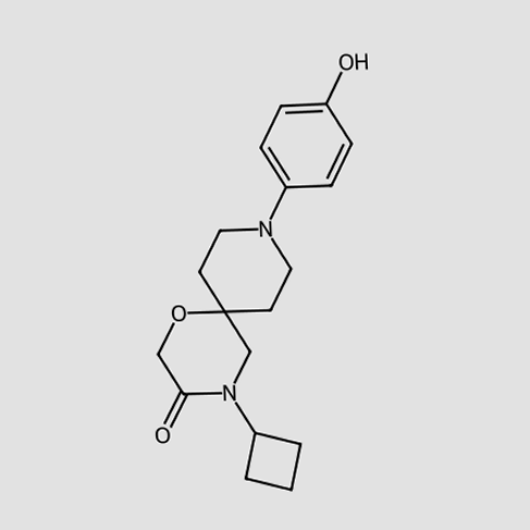 O=C1COC2(CCN(c3ccc(O)cc3)CC2)CN1C1CCC1